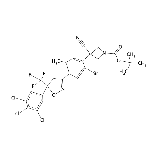 CC1C=C(C2(C#N)CN(C(=O)OC(C)(C)C)C2)C(Br)=CC1C1=NOC(c2cc(Cl)c(Cl)c(Cl)c2)(C(F)(F)F)C1